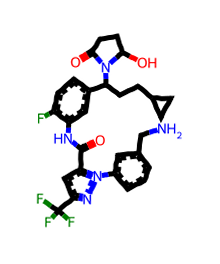 NCc1cccc(-n2nc(C(F)(F)F)cc2C(=O)Nc2cc(C(CCC3CC3)N3C(=O)CCC3O)ccc2F)c1